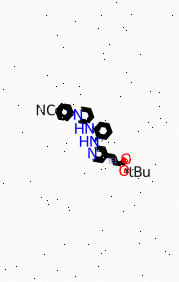 CC(C)(C)OC(=O)/C=C/c1ccnc(N[C@@H]2CCCC[C@H]2NC2CCCN(c3ccc(C#N)cc3)C2)c1